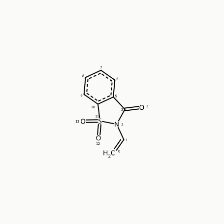 C=CN1C(=O)c2ccccc2S1(=O)=O